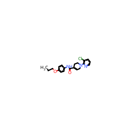 CCCOc1ccc(NC(=O)C2=CCN(c3ncccc3Cl)CC2)cc1